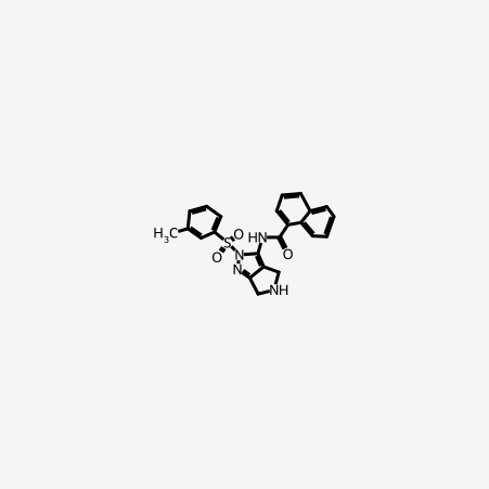 Cc1cccc(S(=O)(=O)n2nc3c(c2NC(=O)c2cccc4ccccc24)CNC3)c1